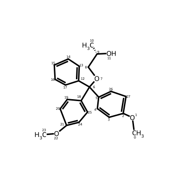 COc1ccc(C(OC[C@H](C)O)(c2ccccc2)c2ccc(OC)cc2)cc1